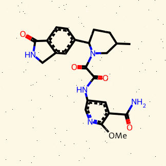 COc1ncc(NC(=O)C(=O)N2CC(C)CCC2c2ccc3c(c2)CNC3=O)cc1C(N)=O